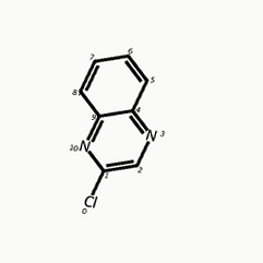 Clc1cnc2ccc[c]c2n1